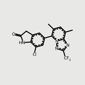 Cc1cc(C)c2nc(C(F)(F)F)nn2c1-c1cc(Cl)c2c(c1)CC(=O)N2